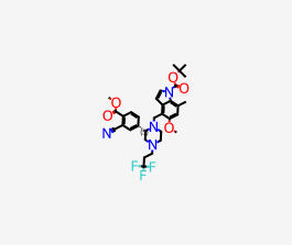 COC(=O)c1ccc([C@H]2CN(CCC(F)(F)F)CCN2Cc2c(OC)cc(C)c3c2ccn3C(=O)OC(C)(C)C)cc1C#N